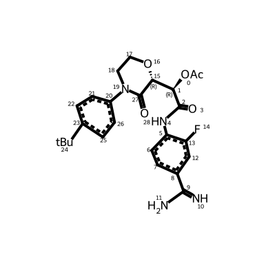 CC(=O)O[C@@H](C(=O)Nc1ccc(C(=N)N)cc1F)[C@H]1OCCN(c2ccc(C(C)(C)C)cc2)C1=O